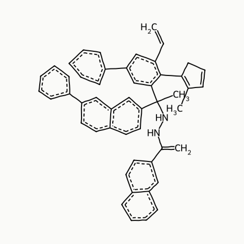 C=Cc1cc(-c2ccccc2)cc(C(C)(NNC(=C)c2ccc3ccccc3c2)c2ccc3ccc(-c4ccccc4)cc3c2)c1C1=C(C)C=CC1